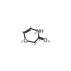 O=C1[C]OC=CN1